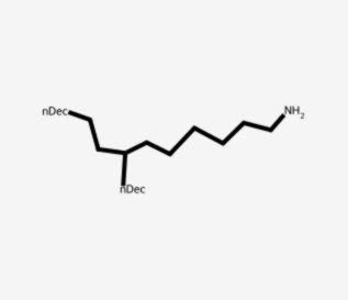 CCCCCCCCCCCCC(CCCCCCN)CCCCCCCCCC